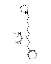 N=C(N)N(CCCCCN1CCCC1)CCc1ccccc1